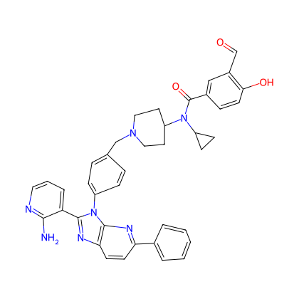 Nc1ncccc1-c1nc2ccc(-c3ccccc3)nc2n1-c1ccc(CN2CCC(N(C(=O)c3ccc(O)c(C=O)c3)C3CC3)CC2)cc1